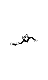 O=COCc1cc(CBr)on1